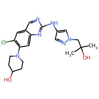 CC(C)(O)Cn1cc(Nc2ncc3cc(Cl)c(N4CCC(O)CC4)cc3n2)cn1